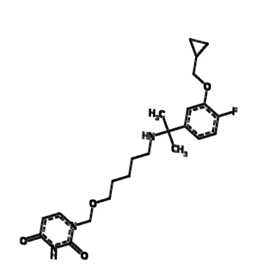 CC(C)(NCCCCCOCn1ccc(=O)[nH]c1=O)c1ccc(F)c(OCC2CC2)c1